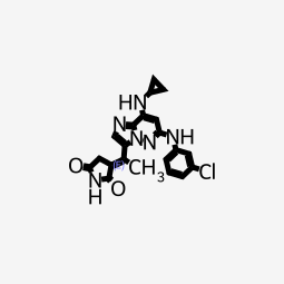 C/C(=C1/CC(=O)NC1=O)c1cnc2c(NC3CC3)cc(Nc3cccc(Cl)c3)nn12